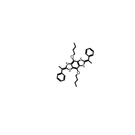 CCCCOc1c2c(c(OCCCC)c3c1SC(=C(C)c1ccccc1)S3)SC(=C(C)c1ccccc1)S2